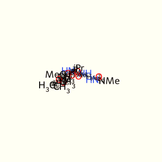 CNCC(=O)NCCCCCCNC(=O)OC[C@H](NC(=O)OC1CCC2(CO2)C(C(C)(C)OCC=C(C)C)C1OC)C(C)C